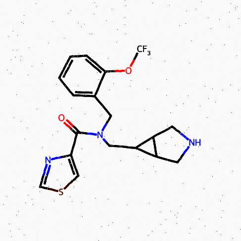 O=C(c1cscn1)N(Cc1ccccc1OC(F)(F)F)CC1C2CNCC21